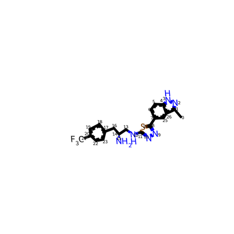 Cc1n[nH]c2ccc(-c3nnc(NC[C@@H](N)Cc4ccc(C(F)(F)F)cc4)s3)cc12